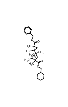 CC(C)C(C)(CC(C)(C)C1(C)CC1(C)C(=O)OCc1ccccc1)C(=O)OCC1CCCCC1